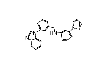 c1cc(NCc2cccc(-n3cnc4ccccc43)c2)cc(-n2ccnc2)c1